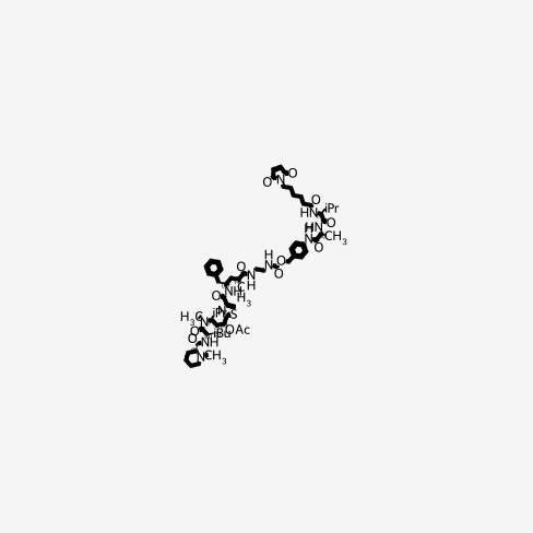 CC[C@H](C)[C@H](NC(=O)[C@H]1CCCCN1C)C(=O)N(C)[C@H](C[C@@H](OC(C)=O)c1nc(C(=O)N[C@@H](Cc2ccccc2)C[C@H](C)C(=O)NCCNC(=O)OCc2ccc(NC(=O)[C@H](C)NC(=O)[C@@H](NC(=O)CCCCCN3C(=O)C=CC3=O)C(C)C)cc2)cs1)C(C)C